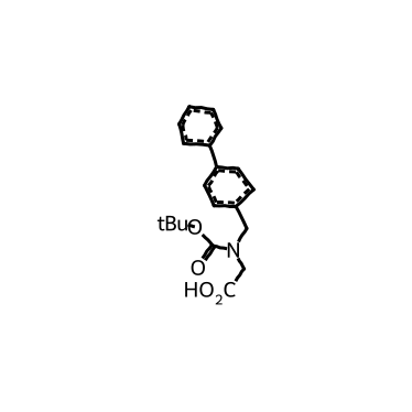 CC(C)(C)OC(=O)N(CC(=O)O)Cc1ccc(-c2ccccc2)cc1